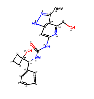 COc1n[nH]c2cc(NC(=O)N[C@H](c3ccccc3)C3(O)CCC3)nc(CO)c12